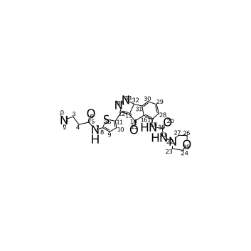 CN(C)CCC(=O)Nc1ccc(C2=C3C(=O)c4c(NC(=O)NN5CCOCC5)cccc4C3N=N2)s1